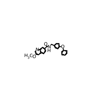 COc1cnc2cc(C(=O)NCc3ccc(Oc4ccccc4)cc3)ccc2c1